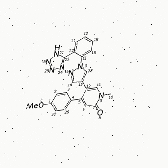 COc1ccc(-c2cc(=O)n(C)cc2-c2cnn(-c3ccccc3-c3nnn[nH]3)c2)cc1